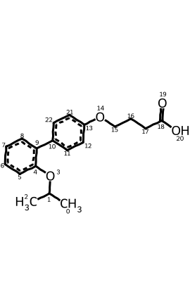 CC(C)Oc1ccccc1-c1ccc(OCCCC(=O)O)cc1